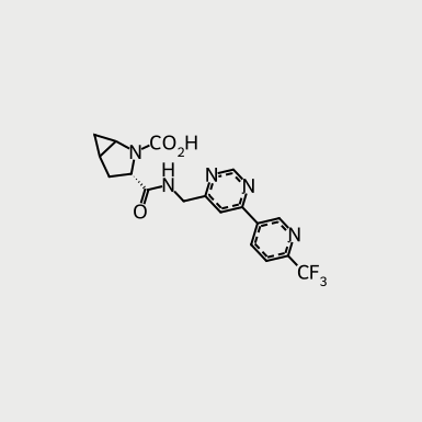 O=C(NCc1cc(-c2ccc(C(F)(F)F)nc2)ncn1)[C@@H]1CC2CC2N1C(=O)O